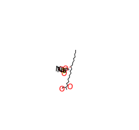 CCCCCCCCCCCCCCCCCC(=O)C(C)C=O.O=S([O-])[O-].[Na+].[Na+]